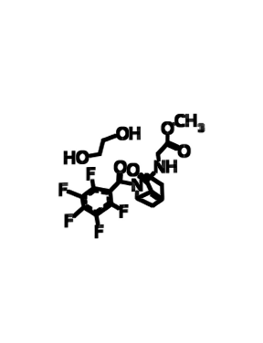 COC(=O)CNC(=O)C1=C2CCN(C(=O)c3c(F)c(F)c(F)c(F)c3F)C1C2.OCCO